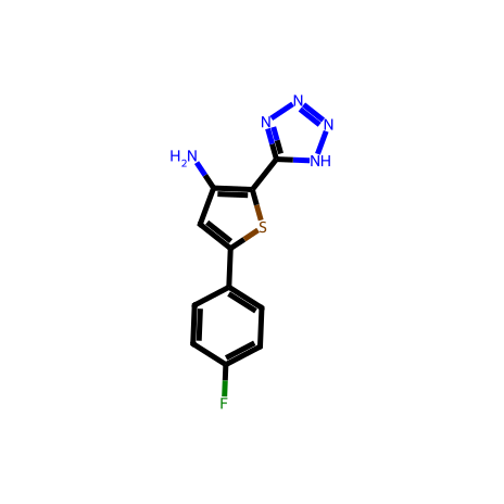 Nc1cc(-c2ccc(F)cc2)sc1-c1nnn[nH]1